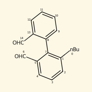 CCCCc1cccc(C=O)c1-c1ccccc1C=O